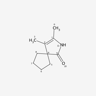 CC1=C(C)C2(CCCC2)C(=O)N1